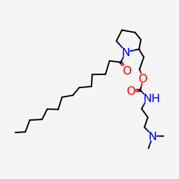 CCCCCCCCCCCCCC(=O)N1CCCCC1CCOC(=O)NCCCN(C)C